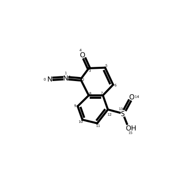 [N-]=[N+]=C1C(=O)C=Cc2c1cccc2S(=O)O